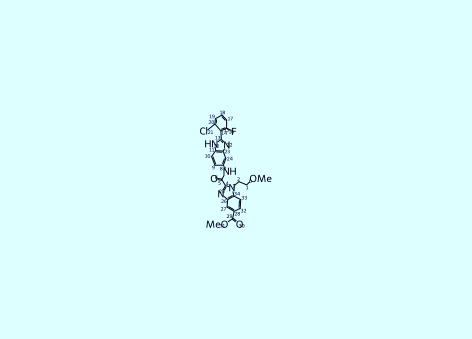 COCCn1c(C(=O)Nc2ccc3[nH]c(-c4c(F)cccc4Cl)nc3c2)nc2cc(C(=O)OC)ccc21